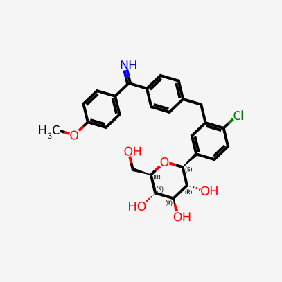 COc1ccc(C(=N)c2ccc(Cc3cc([C@@H]4O[C@H](CO)[C@@H](O)[C@H](O)[C@H]4O)ccc3Cl)cc2)cc1